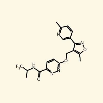 Cc1ccc(-c2noc(C)c2COc2ccc(C(=O)NC(C)C(F)(F)F)nn2)cn1